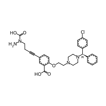 NN(CCC#Cc1ccc(OCCN2CCN([C@H](c3ccccc3)c3ccc(Cl)cc3)CC2)c(C(=O)O)c1)C(=O)O